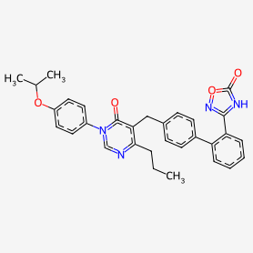 CCCc1ncn(-c2ccc(OC(C)C)cc2)c(=O)c1Cc1ccc(-c2ccccc2-c2noc(=O)[nH]2)cc1